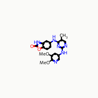 COc1cc(Nc2ncc(C)c(Nc3ccc4oc(=O)[nH]c4c3)n2)cnc1OC